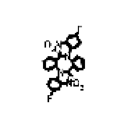 O=C1c2ccccc2N(c2ccc(F)cc2[N+](=O)[O-])C(=O)c2ccccc2N1c1ccc(F)cc1[N+](=O)[O-]